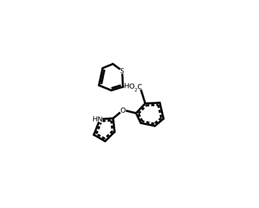 C1=CCSC=C1.O=C(O)c1ccccc1Oc1ccc[nH]1